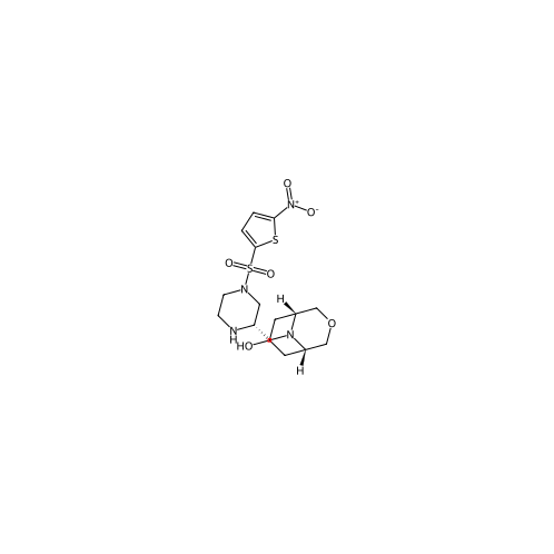 O=[N+]([O-])c1ccc(S(=O)(=O)N2CCN[C@@H](CN3[C@@H]4COC[C@H]3CC(O)C4)C2)s1